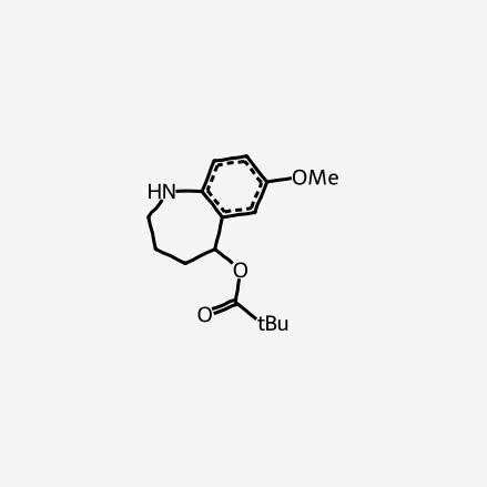 COc1ccc2c(c1)C(OC(=O)C(C)(C)C)CCCN2